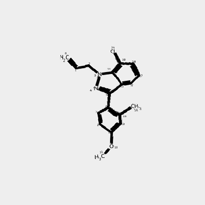 C=CCn1nc(-c2ccc(OC)cc2C)c2cccc(Cl)c21